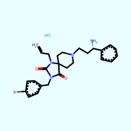 C=CCN1C(=O)N(Cc2ccc(Br)cc2)C(=O)C12CCN(CC[C@H](N)c1ccccc1)CC2.Cl